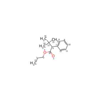 CCCOC(=O)C(c1ccccc1)C(C)(C)C